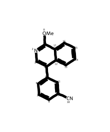 COc1ncc(-c2cccc(C#N)c2)c2ccccc12